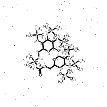 CC(=O)OCC1O[C@H](O[C@H]2OC(CO[Si](C)(C)C)[C@@H](O[Si](C)(C)C)[C@@H](O[Si](C)(C)C)C2O[Si](C)(C)C)C(O[Si](C)(C)C)[C@@H](O[Si](C)(C)C)[C@@H]1O[Si](C)(C)C